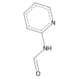 O=CNc1ccccn1